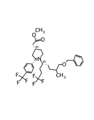 COC(=O)C[C@@H]1CCN([C@H](CCC(C)COCc2ccccc2)CCC(F)(F)F)[C@H](c2ccc(C(F)(F)F)cc2)C1